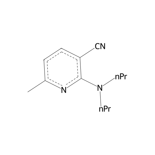 CCCN(CCC)c1nc(C)ccc1C#N